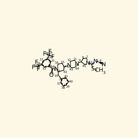 CS/C(=N\C#N)N1CCC(N2CCN(C3CCN(C(=O)c4cc(C(F)(F)F)cc(C(F)(F)F)c4)C(Cc4ccccc4)C3)CC2)C1